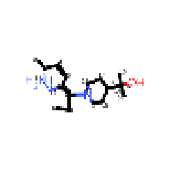 CC/C=C\C(NN)=C(\CC)N1CCC(C(C)(C)O)CC1